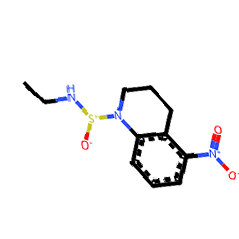 CCN[S+]([O-])N1CCCc2c1cccc2[N+](=O)[O-]